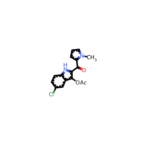 CC(=O)Oc1c(C(=O)c2cccn2C)[nH]c2ccc(Cl)cc12